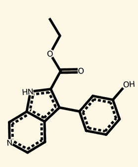 CCOC(=O)c1[nH]c2cnccc2c1-c1cccc(O)c1